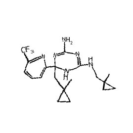 CC1(CNC2=NC(N)=NC(CC3(C)CC3)(c3cccc(C(F)(F)F)n3)N2)CC1